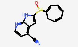 N#Cc1ccnc2[nH]c([S+]([O-])C3=CC=CC=CC3)cc12